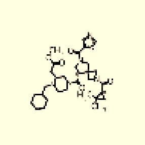 COC(=O)CC1CN(C(=O)[C@@H]2CN(C(=O)c3cncs3)CC23CN(C(=O)[C@H]2CC2(C)C)C3)CCN1CC1CCCCC1